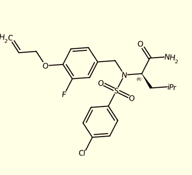 C=CCOc1ccc(CN([C@H](CC(C)C)C(N)=O)S(=O)(=O)c2ccc(Cl)cc2)cc1F